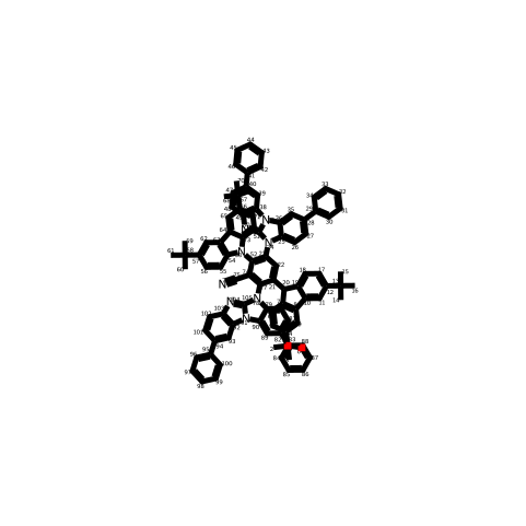 CC(C)(C)c1ccc2c(c1)-c1cc(C(C)(C)C)ccc1C2c1cc(-n2c3ccc(-c4ccccc4)cc3n3c4cc(-c5ccccc5)ccc4nc23)c(-n2c3ccc(C(C)(C)C)cc3c3cc(C(C)(C)C)ccc32)c(C#N)c1-n1c2ccc(-c3ccccc3)cc2n2c3cc(-c4ccccc4)ccc3nc12